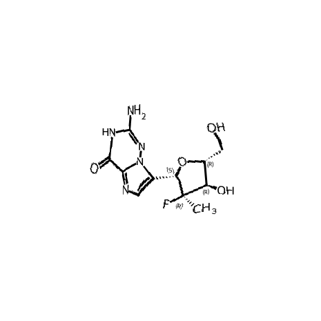 C[C@@]1(F)[C@H](O)[C@@H](CO)O[C@H]1c1cnc2c(=O)[nH]c(N)nn12